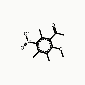 COc1c(C)c(C)c([N+](=O)[O-])c(C)c1C(C)=O